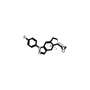 C[C@]12Cc3cnn(-c4ccc(F)cc4)c3C=C1CC[C@@H]2[C@H]1CO1